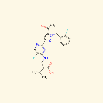 CC(=O)c1cc(-c2ncc(F)c(NCC(C(=O)O)C(C)C)n2)nn1Cc1ccccc1F